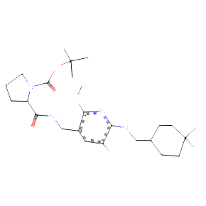 COc1nc(NCC2CCC(F)(F)CC2)c(F)cc1CNC(=O)C1CCCN1C(=O)OC(C)(C)C